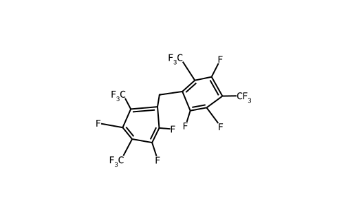 Fc1c(F)c(C(F)(F)F)c(F)c(C(F)(F)F)c1Cc1c(F)c(F)c(C(F)(F)F)c(F)c1C(F)(F)F